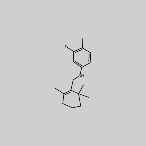 CC1=C(CNc2ccc(C)c(F)c2)C(C)(C)CCC1